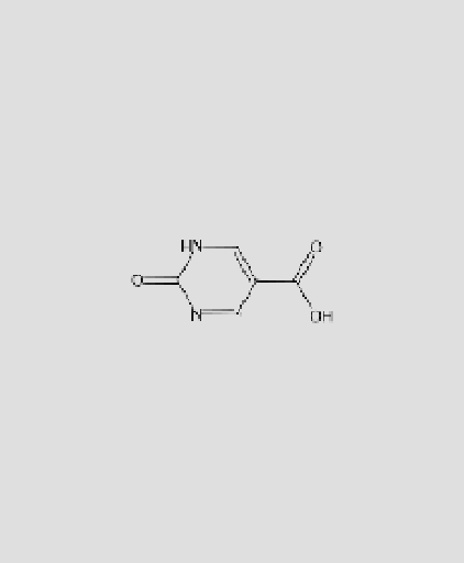 O=C(O)c1[c]nc(=O)[nH]c1